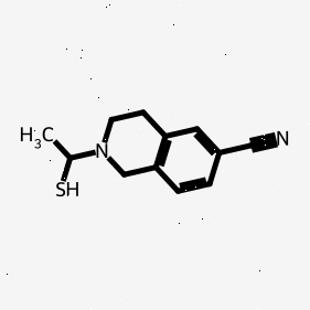 CC(S)N1CCc2cc(C#N)ccc2C1